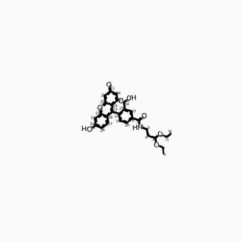 CCOC(CCNC(=O)c1ccc(-c2c3ccc(=O)cc-3oc3cc(O)ccc23)c(C(=O)O)c1)OCC